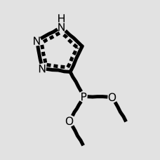 COP(OC)c1c[nH]nn1